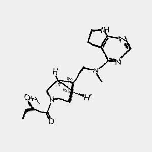 CC(O)C(=O)N1C[C@@H]2[C@H](C1)[C@H]2CN(C)c1ncnc2c1CCN2